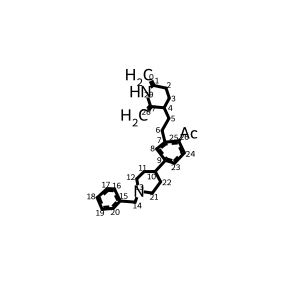 C=C1CCC(CCc2cc(C3CCN(Cc4ccccc4)CC3)ccc2C(C)=O)C(=C)N1